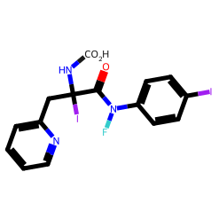 O=C(O)NC(I)(Cc1ccccn1)C(=O)N(F)c1ccc(I)cc1